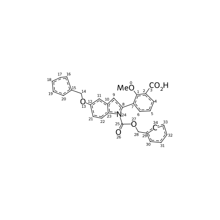 COc1c(C(=O)O)cccc1-c1cc2cc(OCc3ccccc3)ccc2n1C(=O)OCc1ccccc1